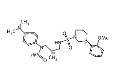 COc1ccccc1[C@@H]1CCCN(S(=O)(=O)NC[C@H](C)CN(c2ccc(N(C)C)cc2)[SH](=O)=O)C1